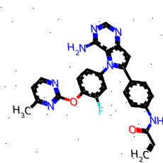 C=CC(=O)Nc1ccc(-c2cc3ncnc(N)c3n2-c2ccc(Oc3nccc(C)n3)c(F)c2)cc1